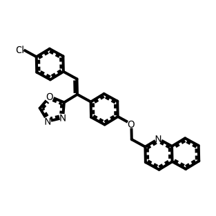 Clc1ccc(C=C(c2ccc(OCc3ccc4ccccc4n3)cc2)c2nnco2)cc1